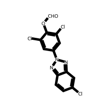 O=COc1c(Cl)cc(-n2nc3ccc(Cl)cc3n2)cc1Cl